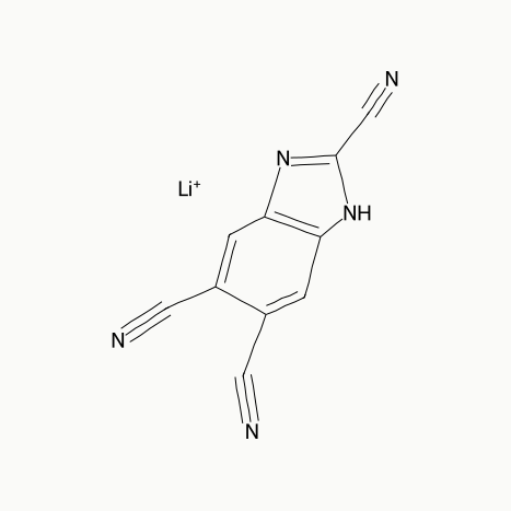 N#Cc1nc2cc(C#N)c(C#N)cc2[nH]1.[Li+]